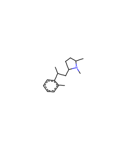 Cc1ccccc1C(C)CC1CCC(C)N1C